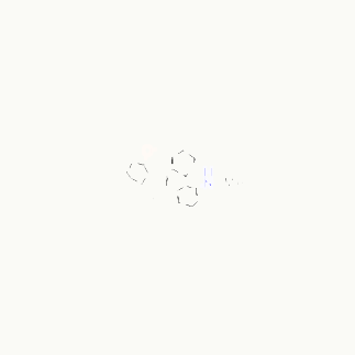 CSNc1cccc(/C(C)=C2\c3ccccc3COc3cc(F)ccc32)c1